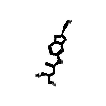 C#Cc1nc2ccc(NC(=O)CC(C)C)cc2s1